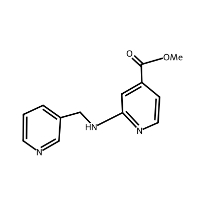 COC(=O)c1ccnc(NCc2cccnc2)c1